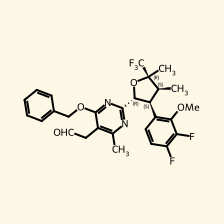 COc1c([C@H]2[C@H](c3nc(C)c(CC=O)c(OCc4ccccc4)n3)O[C@@](C)(C(F)(F)F)[C@H]2C)ccc(F)c1F